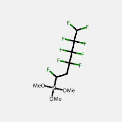 CO[Si](OC)(OC)C(F)CC(F)(F)C(F)(F)C(F)(F)C(F)F